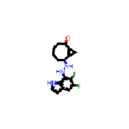 O=C1CCCCC(NNc2c(F)c(F)cc3cc[nH]c23)C2=C1C2